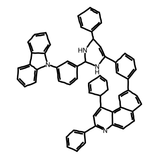 C1=CCC(c2cc(-c3ccccc3)nc3ccc4ccc(-c5cccc(C6=CC(c7ccccc7)NC(c7cccc(-n8c9ccccc9c9ccccc98)c7)N6)c5)cc4c23)C=C1